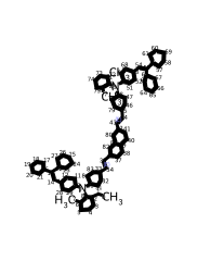 CCc1cccc(C)c1N(c1ccc(C=C(c2ccccc2)c2ccccc2)cc1)c1ccc(/C=C/c2ccc3ccc(/C=C/c4ccc(N(c5ccc(C=C(c6ccccc6)c6ccccc6)cc5)c5c(C)cccc5C)cc4)cc3c2)cc1